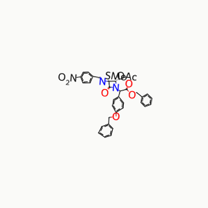 CS[C@@]1(/N=C/c2ccc([N+](=O)[O-])cc2)C(=O)N(C(C(=O)OCc2ccccc2)c2ccc(OCc3ccccc3)cc2)[C@H]1OC(C)=O